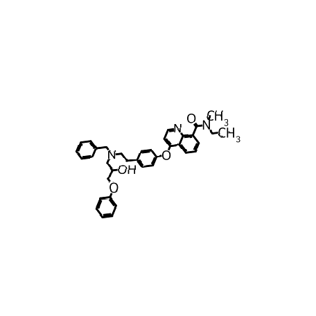 CCN(C)C(=O)c1cccc2c(Oc3ccc(CCN(Cc4ccccc4)CC(O)COc4ccccc4)cc3)ccnc12